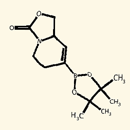 CC1(C)OB(C2=CC3COC(=O)N3CC2)OC1(C)C